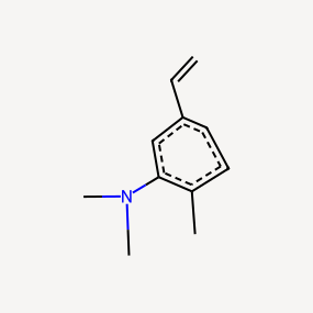 C=Cc1ccc(C)c(N(C)C)c1